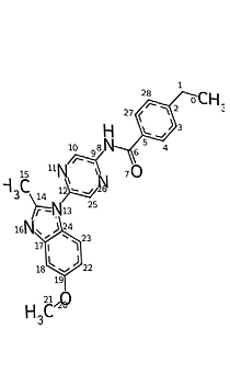 CCc1ccc(C(=O)Nc2cnc(-n3c(C)nc4cc(OC)ccc43)cn2)cc1